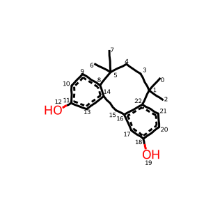 CC1(C)CCC(C)(C)c2ccc(O)cc2Cc2cc(O)ccc21